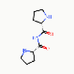 O=C(NC(=O)[C@@H]1CCCN1)[C@@H]1CCCN1